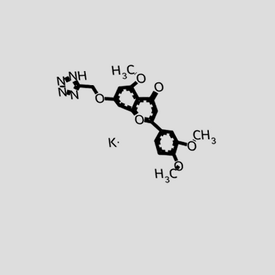 COc1ccc(-c2cc(=O)c3c(OC)cc(OCc4nnn[nH]4)cc3o2)cc1OC.[K]